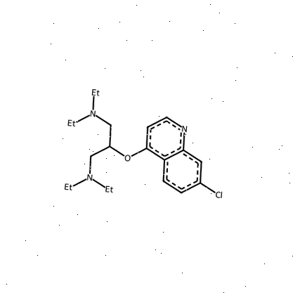 CCN(CC)CC(CN(CC)CC)Oc1ccnc2cc(Cl)ccc12